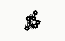 c1ccc(-c2cc(-c3ccccc3)c3oc4cccc(-c5nc(-c6ccccn6)c6oc7ccccc7c6n5)c4c3c2)cc1